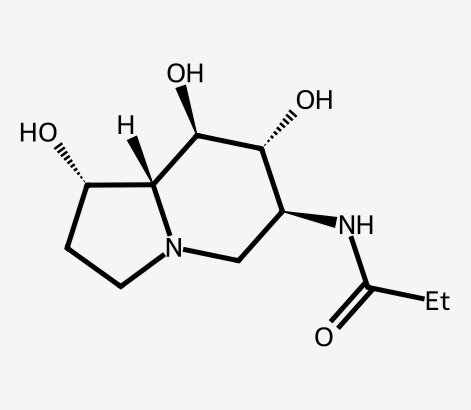 CCC(=O)N[C@H]1CN2CC[C@H](O)[C@@H]2[C@@H](O)[C@@H]1O